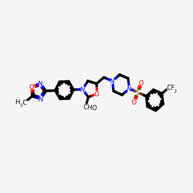 Cc1nc(-c2ccc(N3CC(CN4CCN(S(=O)(=O)c5cccc(C(F)(F)F)c5)CC4)OC3C=O)cc2)no1